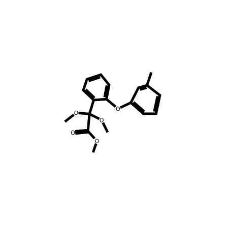 COC(=O)C(OC)(OC)c1ccccc1Oc1cccc(C)c1